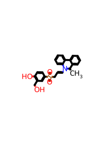 CC1c2ccccc2-c2ccccc2N1C=CCS(=O)(=O)c1ccc(O)c(CO)c1